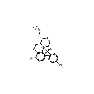 C=CC[C@@H]1OCC[C@@]2(S(=O)(=O)c3ccc(C(F)(F)F)cc3)c3c(F)ccc(F)c3OCC12